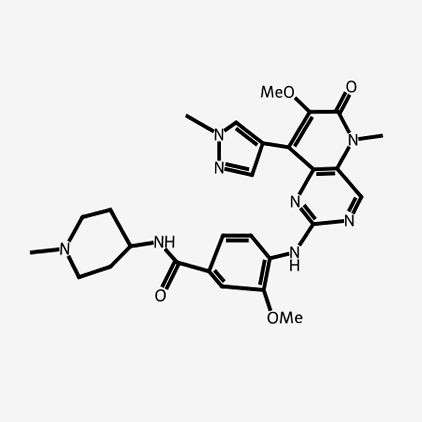 COc1cc(C(=O)NC2CCN(C)CC2)ccc1Nc1ncc2c(n1)c(-c1cnn(C)c1)c(OC)c(=O)n2C